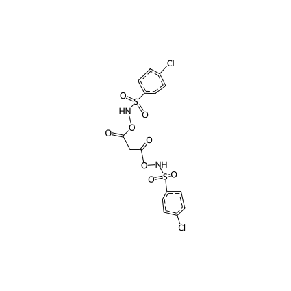 O=C(CC(=O)ONS(=O)(=O)c1ccc(Cl)cc1)ONS(=O)(=O)c1ccc(Cl)cc1